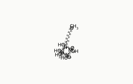 COCCCCCCCCCCC(O)N1CCN(C(=O)O)CCN(C(=O)O)CC(C)N(C(=O)O)CC1